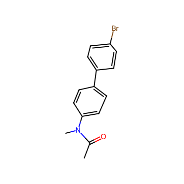 CC(=O)N(C)c1ccc(-c2ccc(Br)cc2)cc1